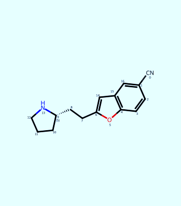 N#Cc1ccc2oc(CC[C@@H]3CCCN3)cc2c1